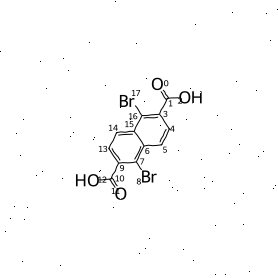 O=C(O)c1ccc2c(Br)c(C(=O)O)ccc2c1Br